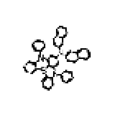 c1ccc(N2c3ccccc3B3c4ccccc4N(c4ccccc4)c4cc(N(c5ccc6ccccc6c5)c5ccc6ccccc6c5)cc2c43)cc1